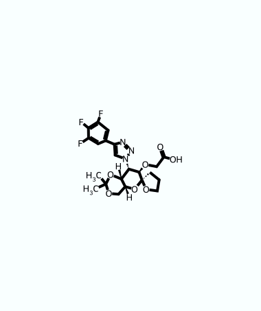 CC1(C)OC[C@H]2O[C@@]3(CCCO3)[C@H](OCC(=O)O)[C@@H](n3cc(-c4cc(F)c(F)c(F)c4)nn3)[C@H]2O1